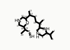 CC(C)C1CNCC(C(C)CCC(C)C2CNCC(C(C)SS)O2)N1